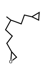 CC(CCCC1CO1)CCC1CC1